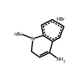 Br.CCCCN1CC=C(N)c2ccccc21